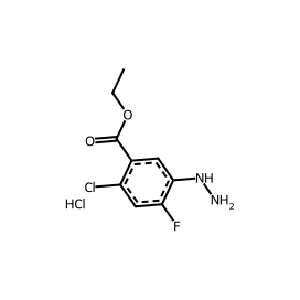 CCOC(=O)c1cc(NN)c(F)cc1Cl.Cl